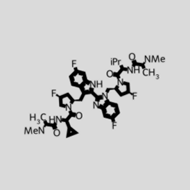 CN[C@@H](C)C(=O)NC(C(=O)N1C[C@@H](F)C[C@H]1Cn1c(-c2[nH]c3cc(F)ccc3c2C[C@@H]2C[C@H](F)CN2C(=O)C(NC(=O)[C@H](C)NC)C2CC2)nc2cc(F)ccc21)C(C)C